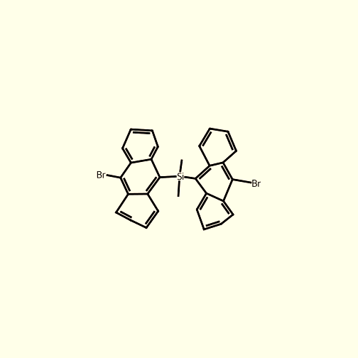 C[Si](C)(c1c2ccccc2c(Br)c2ccccc12)c1c2ccccc2c(Br)c2ccccc12